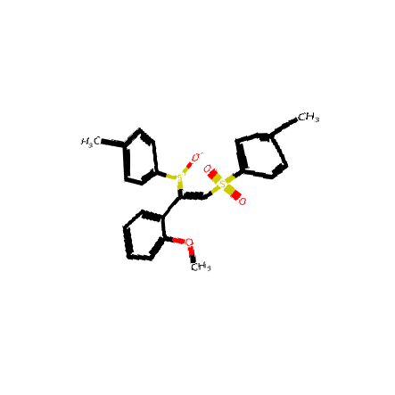 COc1ccccc1C(=CS(=O)(=O)c1ccc(C)cc1)[S+]([O-])c1ccc(C)cc1